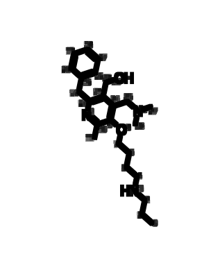 CCCNCCCCOc1c(C)nc(Cc2ccccc2)c(CO)c1CN(C)C